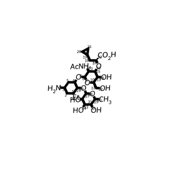 CCC1CC(N)CC(OC2OC(CO)C(O)C(O[C@@H](CC3CC3)C(=O)O)C2NC(C)=O)C1OC1OC(C)C(O)C(O)C1O